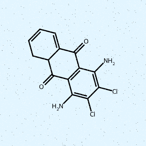 Nc1c(Cl)c(Cl)c(N)c2c1C(=O)C1=CC=CCC1C2=O